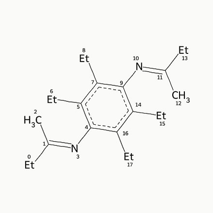 CCC(C)=Nc1c(CC)c(CC)c(N=C(C)CC)c(CC)c1CC